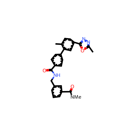 CNC(=O)c1cccc(CNC(=O)c2ccc(-c3cc(-c4nnc(C)o4)ccc3C)cc2)c1